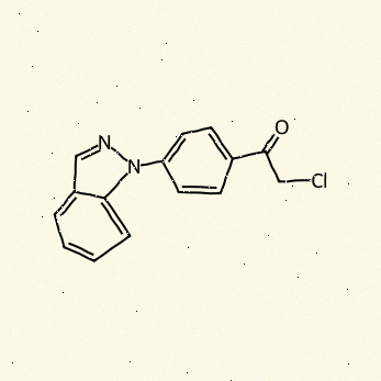 O=C(CCl)c1ccc(-n2ncc3ccccc32)cc1